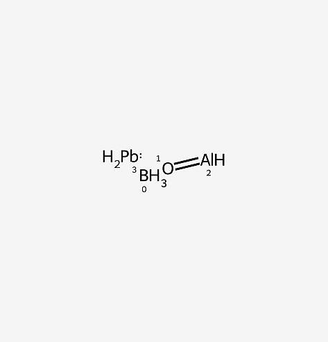 B.[O]=[AlH].[PbH2]